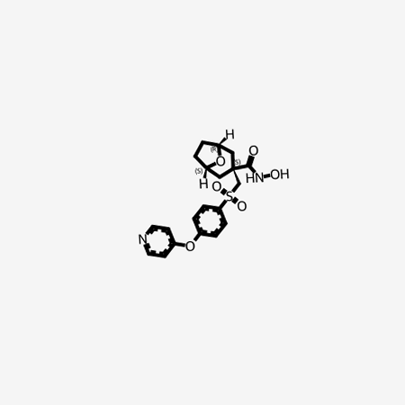 O=C(NO)[C@@]1(CS(=O)(=O)c2ccc(Oc3ccncc3)cc2)C[C@H]2CC[C@@H](C1)O2